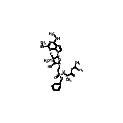 CNc1nc(NC)c2ncn([C@@H]3O[C@H](CO[P@@](=O)(N[C@@H](C)C(=O)OC(C)C)Oc4ccccc4)[C@@H](O)[C@@]3(C)F)c2n1